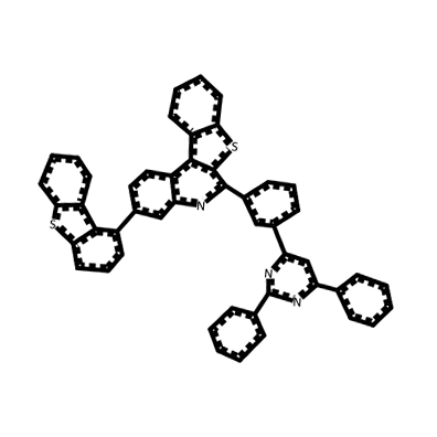 c1ccc(-c2cc(-c3cccc(-c4nc5cc(-c6cccc7sc8ccccc8c67)ccc5c5c4sc4ccccc45)c3)nc(-c3ccccc3)n2)cc1